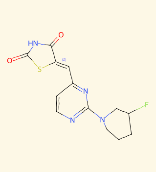 O=C1NC(=O)/C(=C/c2ccnc(N3CCCC(F)C3)n2)S1